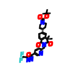 CC(C)(C)OC(=O)N1CCC(c2ccc3c(c2)C(C)(C)C(=O)N(Cc2ccc(-c4nnc(C(F)F)o4)cn2)C3=O)CC1